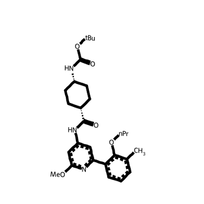 CCCOc1c(C)cccc1-c1cc(NC(=O)[C@H]2CC[C@@H](NC(=O)OC(C)(C)C)CC2)cc(OC)n1